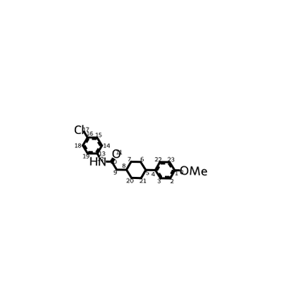 COc1ccc(C2CCC(CC(=O)Nc3ccc(Cl)cc3)CC2)cc1